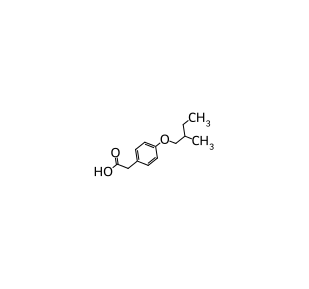 CCC(C)COc1ccc(CC(=O)O)cc1